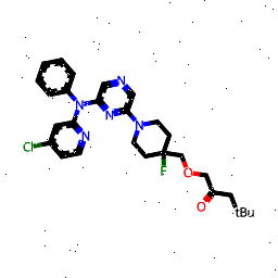 CC(C)(C)CC(=O)COCC1(F)CCN(c2cncc(N(c3ccccc3)c3cc(Cl)ccn3)n2)CC1